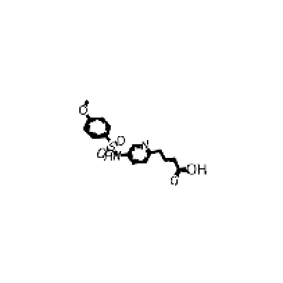 COc1ccc(S(=O)(=O)Nc2ccc(CCCC(=O)O)nc2)cc1